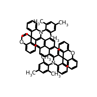 Cc1cc(C)c(N2c3ccccc3C3(c4ccccc4Oc4ccccc43)c3cc4ccc5c6c(cc7ccc(c32)c4c75)C2(c3ccccc3Oc3ccccc32)c2ccccc2N6c2c(C)cc(C)cc2C)c(C)c1